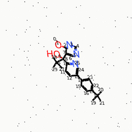 COc1ncncc1C(O)(c1ccc(-c2ccc(C(C)(C)C)cc2)cn1)C(C)(C)C